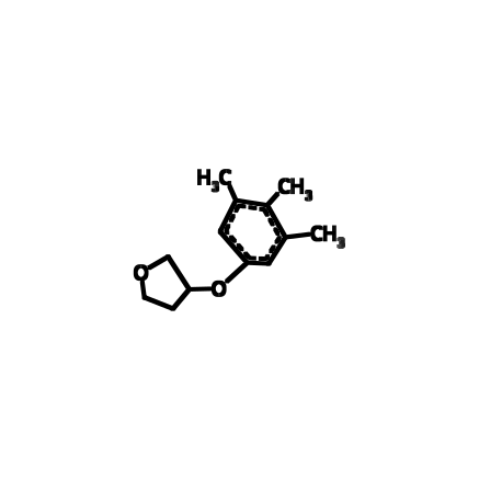 Cc1cc(OC2CCOC2)cc(C)c1C